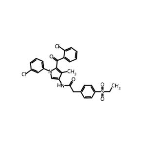 CCS(=O)(=O)c1ccc(CC(=O)Nc2cn(-c3cccc(Cl)c3)c(C(=O)c3ccccc3Cl)c2C)cc1